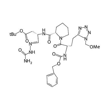 COCn1nnnc1CC[C@H](NC(=O)OCc1ccccc1)C(=O)N1CCCC[C@H]1C(=O)N[C@H](/C=N/NC(N)=O)CC(=O)OC(C)(C)C